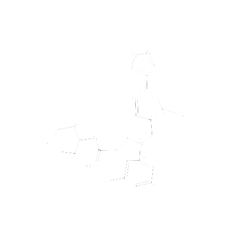 Cn1cc(-c2ccc(Cn3cc(C(=O)NC4CCOCC4O)c4c(F)cccc43)c(F)c2)cn1